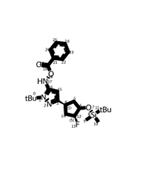 CC(C)(C)n1nc([C@H]2CC(O[Si](C)(C)C(C)(C)C)[C@@H](F)C2)cc1NOC(=O)c1ccccc1